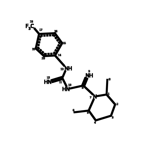 CC1CCCC(C)N1C(=N)NC(=N)Nc1ccc(C(F)(F)F)cc1